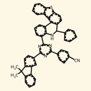 CC1(C)c2ccccc2-c2cc(-c3nc(-c4ccc(C#N)cc4)nc(-c4cccc5c4NC(c4ccccc4)c4ccc6sc7ccccc7c6c4-5)n3)ccc21